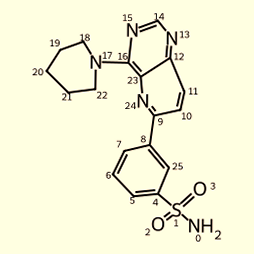 NS(=O)(=O)c1cccc(-c2ccc3ncnc(N4CCCCC4)c3n2)c1